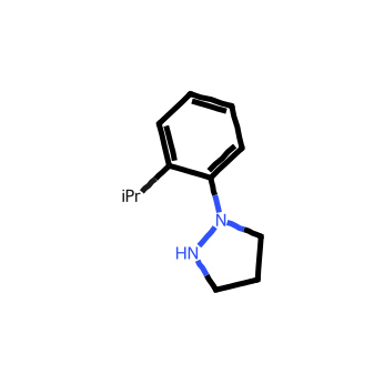 CC(C)c1ccccc1N1CCCN1